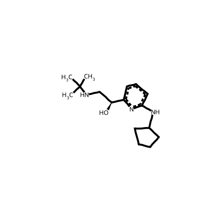 CC(C)(C)NC[C@H](O)c1cccc(NC2CCCC2)n1